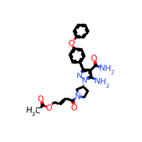 CC(=O)OCC=CC(=O)N1CC[C@@H](n2nc(-c3ccc(Oc4ccccc4)cc3)c(C(N)=O)c2N)C1